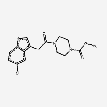 CC(C)(C)OC(=O)N1CCN(C(=O)Cc2csc3ccc(Cl)cc23)CC1